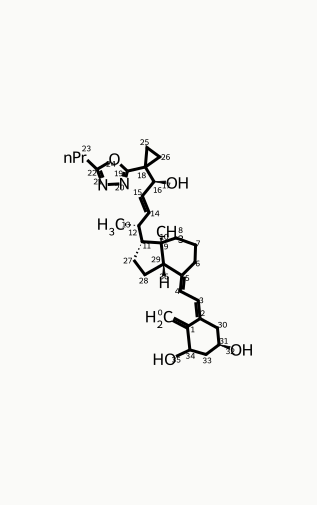 C=C1/C(=C\C=C2/CCC[C@]3(C)[C@@H]([C@H](C)/C=C/[C@H](O)C4(c5nnc(CCC)o5)CC4)CC[C@@H]23)C[C@@H](O)CC1O